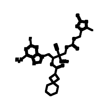 C#CC(COC(=O)OCc1oc(=O)oc1C)(OC)[C@H](Cn1cnc2c(N)nc(F)nc21)OC(=O)C1CC2(CCCCC2)C1